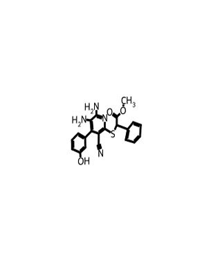 COC(=O)C(Sc1nc(N)c(N)c(-c2cccc(O)c2)c1C#N)c1ccccc1